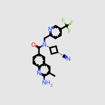 Cc1cc2cc(C(=O)N(Cc3ccc(C(F)(F)F)cn3)[C@H]3C[C@@H](C#N)C3)ccc2nc1N